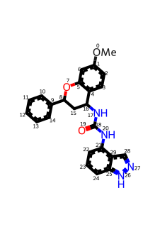 COc1ccc2c(c1)OC(c1ccccc1)CC2NC(=O)Nc1cccc2[nH]ncc12